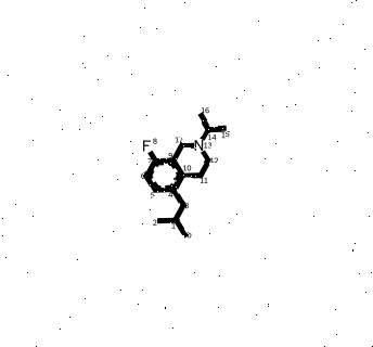 CC(C)Cc1ccc(F)c2c1CCN(C(C)C)C2